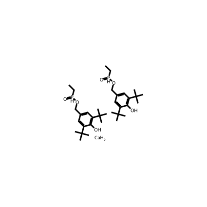 CC[PH](=O)OCc1cc(C(C)(C)C)c(O)c(C(C)(C)C)c1.CC[PH](=O)OCc1cc(C(C)(C)C)c(O)c(C(C)(C)C)c1.[CaH2]